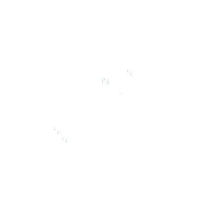 CCCn1cc(-c2ccc(NC(=O)N3CCc4ccccc4C3)cc2)cn1